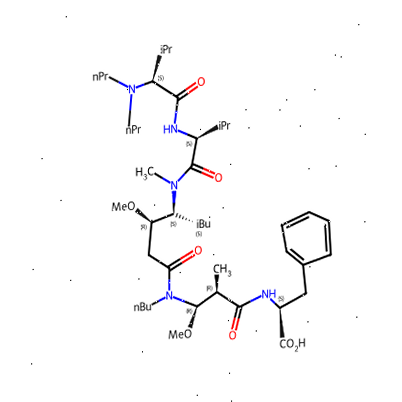 CCCCN(C(=O)C[C@@H](OC)[C@H]([C@@H](C)CC)N(C)C(=O)[C@@H](NC(=O)[C@H](C(C)C)N(CCC)CCC)C(C)C)[C@H](OC)[C@@H](C)C(=O)N[C@@H](Cc1ccccc1)C(=O)O